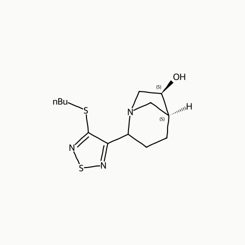 CCCCSc1nsnc1C1CC[C@H]2CN1C[C@H]2O